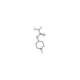 CC(I)C(=O)OC1CCN(C)CC1